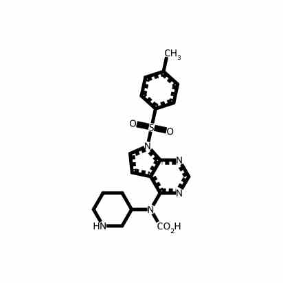 Cc1ccc(S(=O)(=O)n2ccc3c(N(C(=O)O)C4CCCNC4)ncnc32)cc1